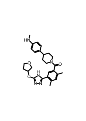 CNc1ccc(C2CCN(C(=O)c3cc(-c4nnc(OC5CCOC5)[nH]4)c(C)cc3C)CC2)cc1